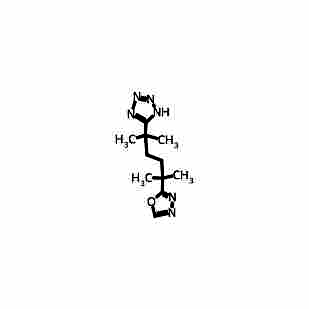 CC(C)(CCC(C)(C)c1nnco1)c1nnn[nH]1